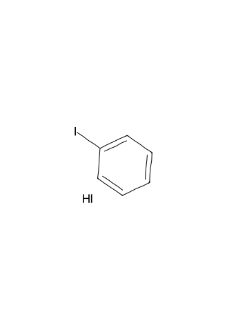 I.Ic1ccccc1